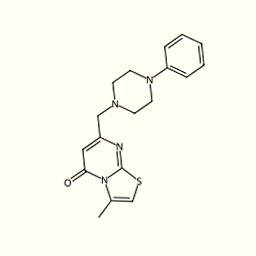 Cc1csc2nc(CN3CCN(c4ccccc4)CC3)cc(=O)n12